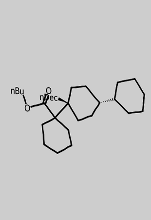 CCCCCCCCCC[C@]1(C2(C(=O)OCCCC)CCCCC2)CC[C@@H](C2CCCCC2)CC1